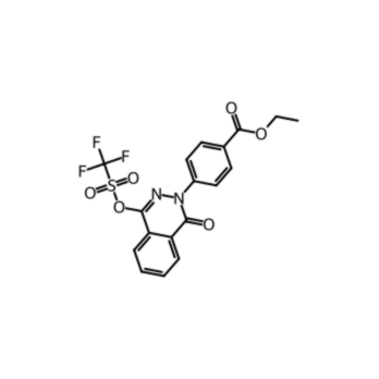 CCOC(=O)c1ccc(-n2nc(OS(=O)(=O)C(F)(F)F)c3ccccc3c2=O)cc1